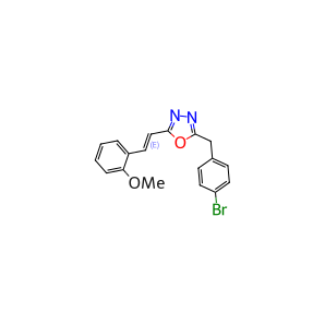 COc1ccccc1/C=C/c1nnc(Cc2ccc(Br)cc2)o1